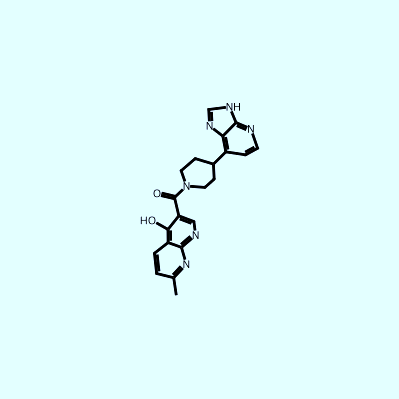 Cc1ccc2c(O)c(C(=O)N3CCC(c4ccnc5[nH]cnc45)CC3)cnc2n1